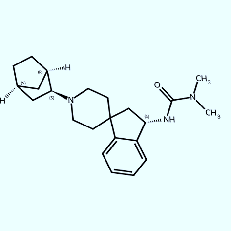 CN(C)C(=O)N[C@H]1CC2(CCN([C@H]3C[C@H]4CC[C@@H]3C4)CC2)c2ccccc21